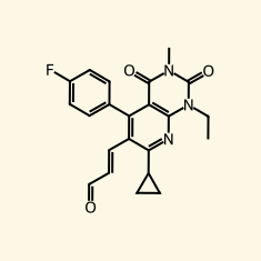 CCn1c(=O)n(C)c(=O)c2c(-c3ccc(F)cc3)c(/C=C/C=O)c(C3CC3)nc21